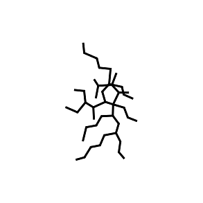 CCCCCC(CCC)C[C](C(C)C(CC)CC)C(CCC)(C(CCCC)CC(CCC)CCCCC)C(C)C(C)C(C)C